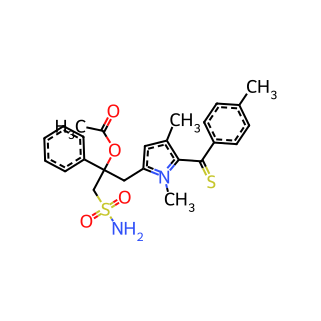 CC(=O)OC(Cc1cc(C)c(C(=S)c2ccc(C)cc2)n1C)(CS(N)(=O)=O)c1ccccc1